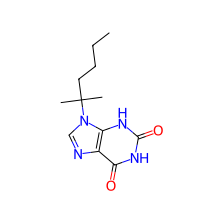 CCCCC(C)(C)n1cnc2c(=O)[nH]c(=O)[nH]c21